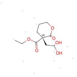 CCOC(=O)[C@]1(CC(O)O)CCCOC1=O